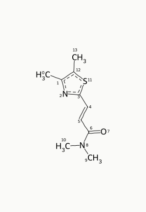 Cc1nc(C=CC(=O)N(C)C)sc1C